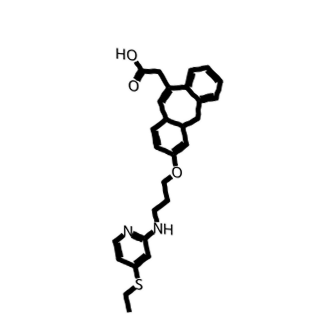 CCSc1ccnc(NCCCOC2=CC3Cc4ccccc4C(CC(=O)O)=CC3C=C2)c1